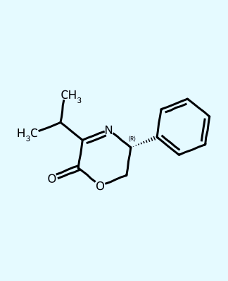 CC(C)C1=N[C@H](c2ccccc2)COC1=O